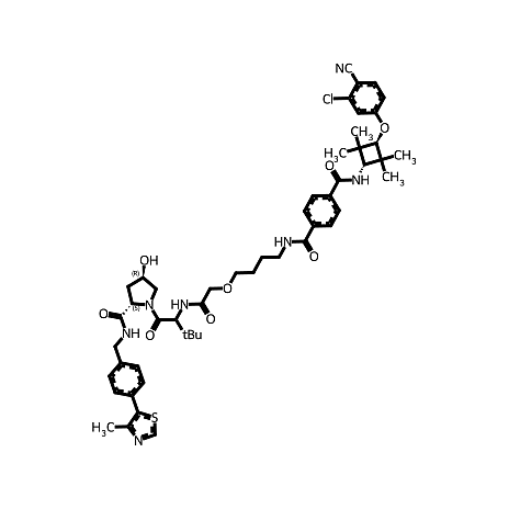 Cc1ncsc1-c1ccc(CNC(=O)[C@@H]2C[C@@H](O)CN2C(=O)C(NC(=O)COCCCCNC(=O)c2ccc(C(=O)N[C@H]3C(C)(C)[C@H](Oc4ccc(C#N)c(Cl)c4)C3(C)C)cc2)C(C)(C)C)cc1